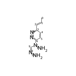 C/C=C/c1ccc(N(N)/C=N\N)nn1